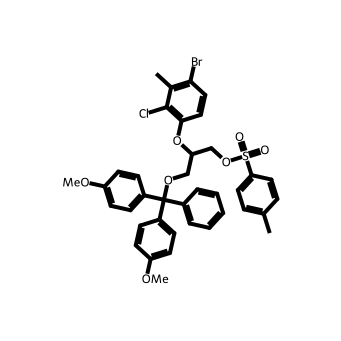 COc1ccc(C(OCC(COS(=O)(=O)c2ccc(C)cc2)Oc2ccc(Br)c(C)c2Cl)(c2ccccc2)c2ccc(OC)cc2)cc1